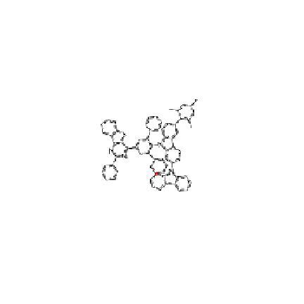 Cc1cc(C)c(-c2ccc3c(c2)c2ccc(-n4c5ccccc5c5ccccc54)cc2n3-c2c(-c3ccccc3)cc(-c3nc(-c4ccccc4)nc4c3sc3ccccc34)cc2-c2ccccc2)c(C)c1